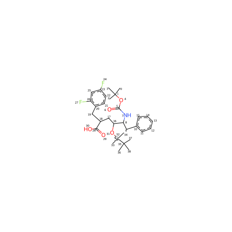 CC(C)(C)OC(=O)NC(Cc1ccccc1)C(CC(Cc1ccc(F)cc1F)C(=O)O)O[Si](C)(C)C(C)(C)C